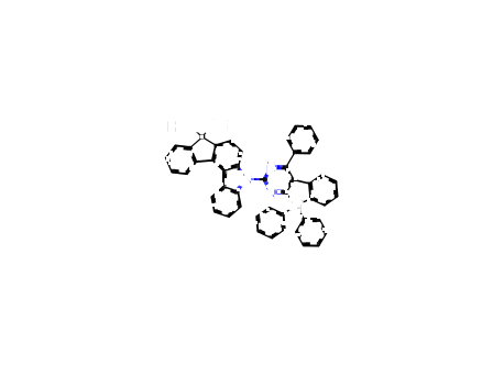 CC1(C)c2ccccc2-c2c1ccc1c2c2ccccc2n1-c1nc(-c2ccccc2)c2c(n1)[Si](c1ccccc1)(c1ccccc1)c1ccccc1-2